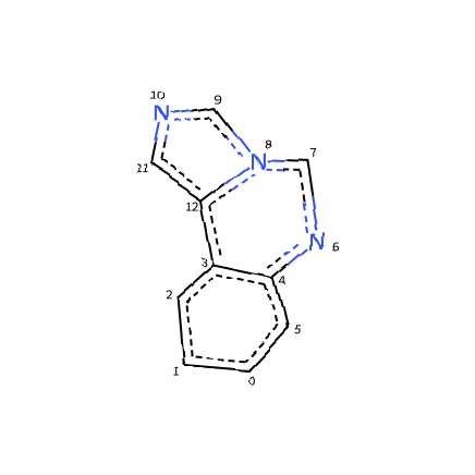 c1ccc2c(c1)ncn1cncc21